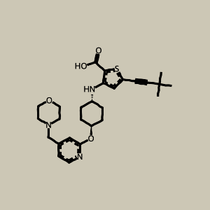 CC(C)(C)C#Cc1cc(N[C@H]2CC[C@H](Oc3cc(CN4CCOCC4)ccn3)CC2)c(C(=O)O)s1